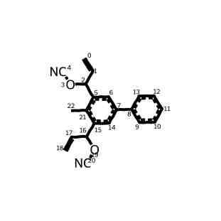 C=CC(OC#N)c1cc(-c2ccccc2)cc(C(C=C)OC#N)c1C